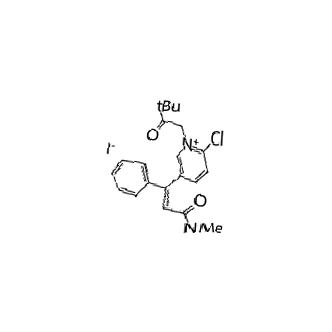 CNC(=O)C=C(c1ccccc1)c1ccc(Cl)[n+](CC(=O)C(C)(C)C)c1.[I-]